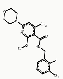 CCSc1nc(N2CCOCC2)cc(C)c1C(=O)NCc1cccc(C(F)(F)F)c1F